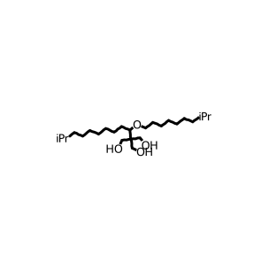 CC(C)CCCCCCCOC(CCCCCCCC(C)C)C(CO)(CO)CO